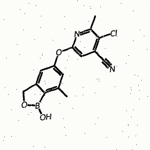 Cc1cc(Oc2cc(C#N)c(Cl)c(C)n2)cc2c1B(O)OC2